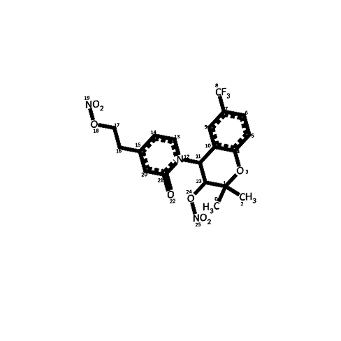 CC1(C)Oc2ccc(C(F)(F)F)cc2C(n2ccc(CCO[N+](=O)[O-])cc2=O)C1O[N+](=O)[O-]